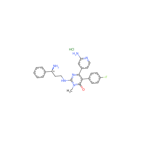 Cl.Cn1c(NCC[C@H](N)c2ccccc2)nc(-c2ccnc(N)c2)c(-c2ccc(F)cc2)c1=O